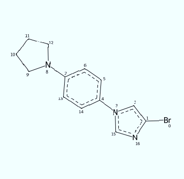 Brc1cn(-c2ccc(N3CCCC3)cc2)cn1